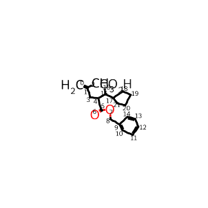 C=C(C)CC(C(=O)OCc1ccccc1)C(C(=O)O)C1CCCC1